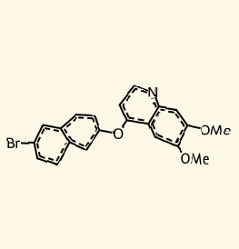 COc1cc2nccc(Oc3ccc4cc(Br)ccc4c3)c2cc1OC